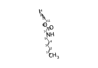 CC=CC=CCNCC(=O)OCC#CI